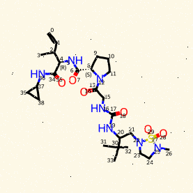 C=CC(C)[C@@H](NC(=O)[C@@H]1CCCN1C(=O)CNC(=O)NC(CN1CCN(C)S1(=O)=O)C(C)(C)C)C(=O)NC1CC1